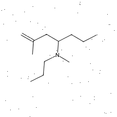 C=C(C)CC(CCC)N(C)CCC